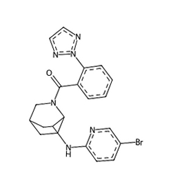 O=C(c1ccccc1-n1nccn1)N1CC2CCC1C(Nc1ccc(Br)cn1)C2